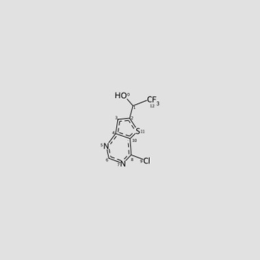 OC(c1cc2ncnc(Cl)c2s1)C(F)(F)F